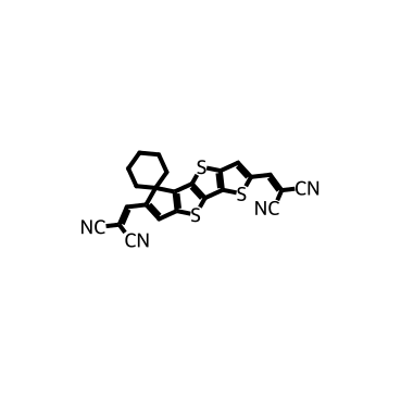 N#CC(C#N)=CC1=Cc2sc3c(sc4cc(C=C(C#N)C#N)sc43)c2C12CCCCC2